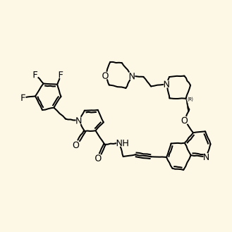 O=C(NCC#Cc1ccc2nccc(OC[C@@H]3CCCN(CCN4CCOCC4)C3)c2c1)c1cccn(Cc2cc(F)c(F)c(F)c2)c1=O